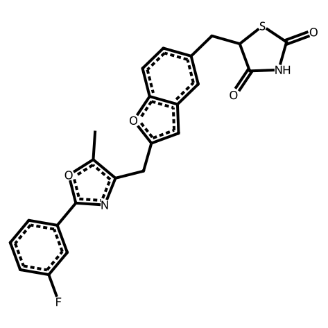 Cc1oc(-c2cccc(F)c2)nc1Cc1cc2cc(CC3SC(=O)NC3=O)ccc2o1